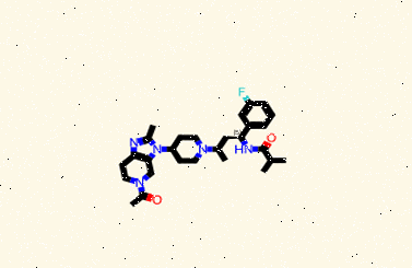 CC(=O)N1CCc2nc(C)n(C3CCN(C(C)C[C@H](NC(=O)C(C)C)c4cccc(F)c4)CC3)c2C1